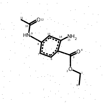 CCOC(=O)c1ccc(NC(C)=O)cc1N